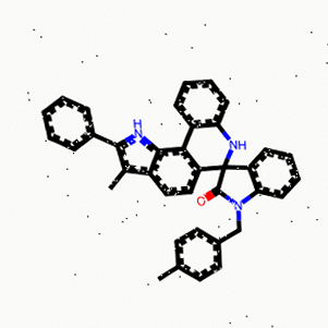 Cc1ccc(CN2C(=O)C3(Nc4ccccc4-c4c3ccc3c(C)c(-c5ccccc5)[nH]c43)c3ccccc32)cc1